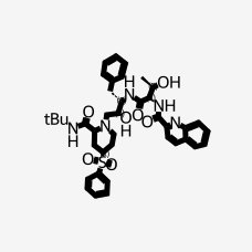 C[C@@H](O)[C@H](NC(=O)c1ccc2ccccc2n1)C(=O)N[C@@H](Cc1ccccc1)[C@H](O)CN1CC[C@@H](S(=O)(=O)c2ccccc2)CC1C(=O)NC(C)(C)C